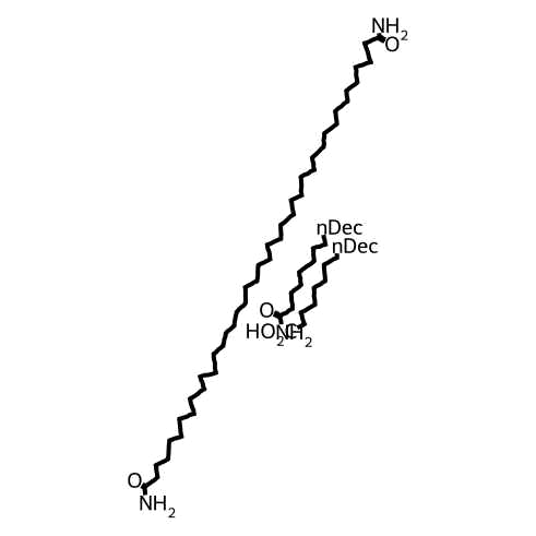 CCCCCCCCCCCCCCCCCC(=O)O.CCCCCCCCCCCCCCCCCC(N)=O.NC(=O)CCCCCCCCCCCCCCCCCCCCCCCCCCCCCCCCCCCCCCCCC(N)=O